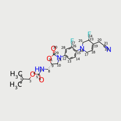 CC(C)COC(=O)NC[C@H]1CN(c2ccc(N3CC=C(CC#N)C(F)C3)c(F)c2)C(=O)O1